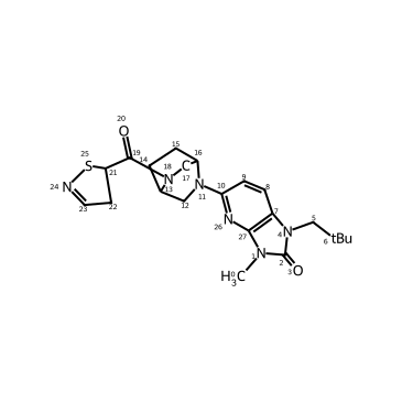 Cn1c(=O)n(CC(C)(C)C)c2ccc(N3CC4CCC3CN4C(=O)C3CC=NS3)nc21